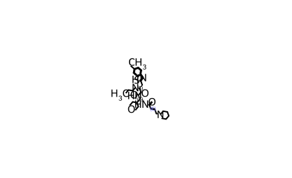 CCC(=O)N[C@@H](Cc1nc2ccc(CC)cc2s1)C(=O)N[C@H](CNC(=O)/C=C/CN1CCCCC1)C1CCOCC1